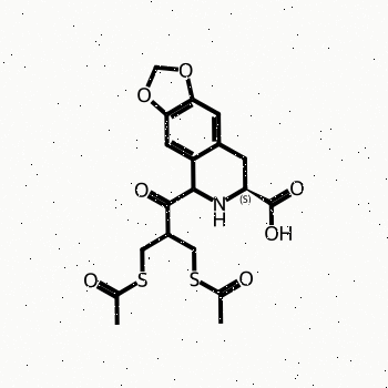 CC(=O)SCC(CSC(C)=O)C(=O)C1N[C@H](C(=O)O)Cc2cc3c(cc21)OCO3